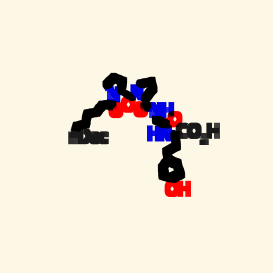 CCCCCCCCCCCCCCCC(=O)N1CCC[C@H]1C(=O)N1CCC[C@H]1C(=O)NCC(=O)N[C@@H](CCc1ccc(O)cc1)C(=O)O